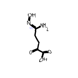 N/C(CCC(=O)C(=O)O)=N\O